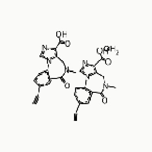 C#Cc1ccc2c(c1)C(=O)N(C)Cc1c(C(=O)O)ncn1-2.C#Cc1ccc2c(c1)C(=O)N(C)Cc1c(C(=O)O)ncn1-2.O